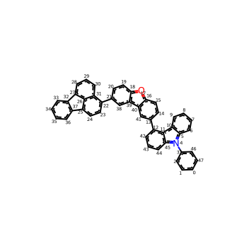 c1ccc(-n2c3ccccc3c3c(-c4ccc5oc6ccc(-c7ccc8c9c(cccc79)-c7ccccc7-8)cc6c5c4)cccc32)cc1